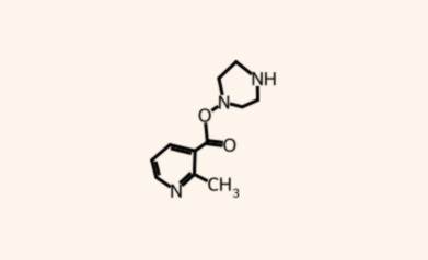 Cc1ncccc1C(=O)ON1CCNCC1